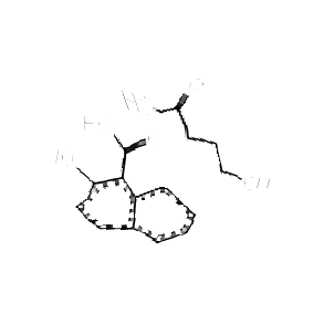 CCCCC(=O)O.O=C(O)c1c(O)ccc2ccccc12